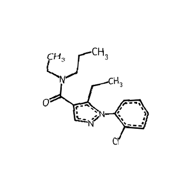 CCCN(CC)C(=O)c1cnn(-c2ccccc2Cl)c1CC